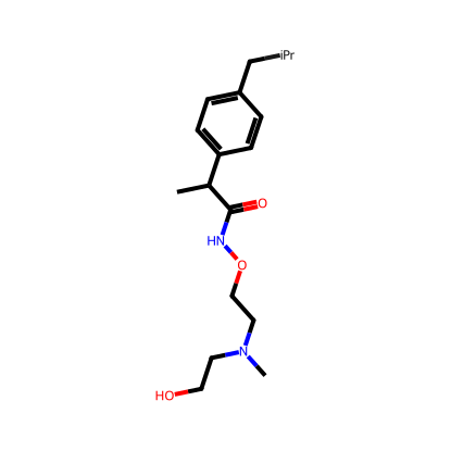 CC(C)Cc1ccc(C(C)C(=O)NOCCN(C)CCO)cc1